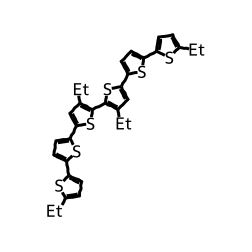 CCc1ccc(-c2ccc(-c3cc(CC)c(-c4sc(-c5ccc(-c6ccc(CC)s6)s5)cc4CC)s3)s2)s1